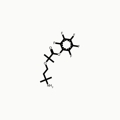 CC(C)(N)CCOC(C)(C)C(=O)Oc1c(F)c(F)c(F)c(F)c1F